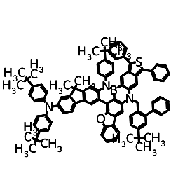 CC(C)(C)c1ccc(N2B3c4cc5c(-c6ccccc6)sc(-c6ccccc6)c5cc4N(Cc4ccc(C(C)(C)C)cc4-c4ccccc4)c4cc5c(oc6ccccc65)c(c43)-c3cc4c(cc32)C(C)(C)c2cc(N(c3ccc(C(C)(C)C)cc3)c3ccc(C(C)(C)C)cc3)ccc2-4)cc1